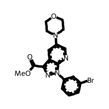 COC(=O)c1nn(-c2cccc(Br)c2)c2ncc(N3CCOCC3)cc12